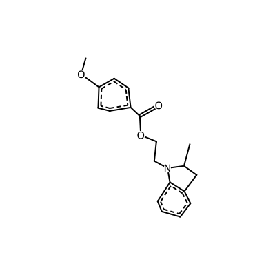 COc1ccc(C(=O)OCCN2c3ccccc3CC2C)cc1